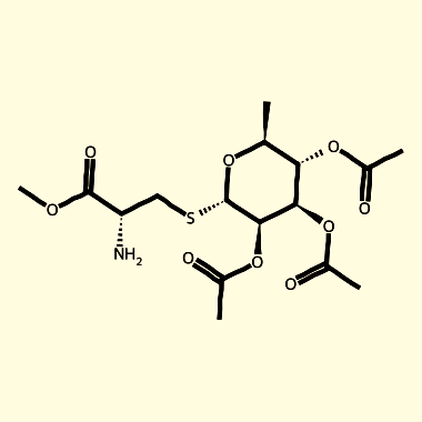 COC(=O)[C@@H](N)CS[C@@H]1O[C@@H](C)[C@H](OC(C)=O)[C@@H](OC(C)=O)[C@H]1OC(C)=O